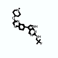 CN1CCC(Oc2cnc3ccc(-c4c[nH]c5nc(NCC(C)(C)F)ncc45)cc3n2)CC1